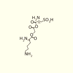 NCCCC[C@H](N)C(=O)OCC(=O)OC(=O)[C@H](N)CS(=O)(=O)O